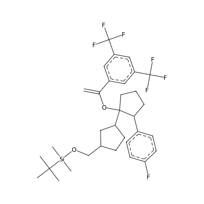 C=C(OC1(C2CCC(CO[Si](C)(C)C(C)(C)C)C2)CCCC1c1ccc(F)cc1)c1cc(C(F)(F)F)cc(C(F)(F)F)c1